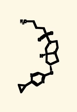 O=S(=O)(CCCC(F)(F)F)N1CCN2C[C@H](Oc3cnc(C4CC4)cn3)C[C@H]2C1